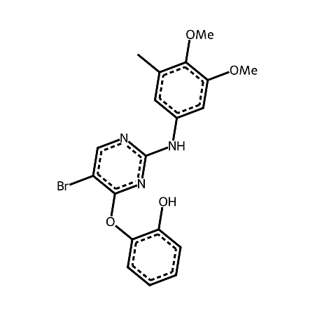 COc1cc(Nc2ncc(Br)c(Oc3ccccc3O)n2)cc(C)c1OC